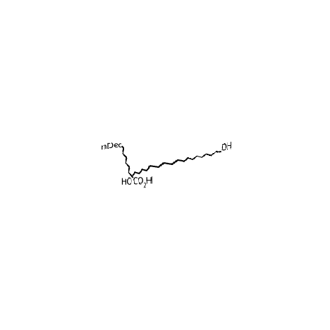 CCCCCCCCCCCCCCCCC(O)(CCCCCCCCCCCCCCCCCCO)C(=O)O